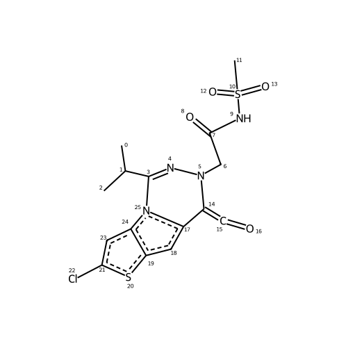 CC(C)C1=NN(CC(=O)NS(C)(=O)=O)C(=C=O)c2cc3sc(Cl)cc3n21